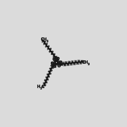 CCCCCCCCCCCCCCCS(=O)(=O)c1cc(S(=O)(=O)CCCCCCCCCCCCCCC)cc(S(=O)(=O)CCCCCCCCCCCCCCC)c1